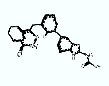 CCCC(=O)Nc1nc2cc(-c3cccc(Cc4n[nH]c(=O)c5c4=CCCC=5)c3F)ccc2[nH]1